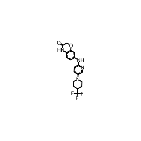 O=C1COc2cc(Nc3ccc(N4CCC(C(F)(F)F)CC4)cn3)ccc2N1